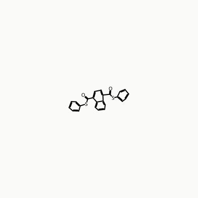 O=C(Sc1ccccc1)c1ccc(C(=O)Sc2ccccc2)c2ccccc12